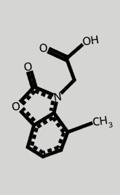 Cc1cccc2oc(=O)n(CC(=O)O)c12